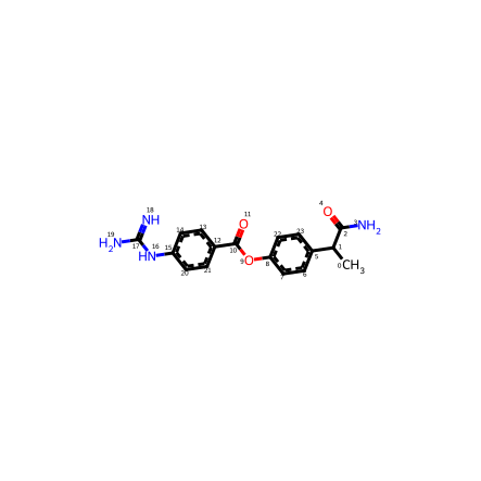 CC(C(N)=O)c1ccc(OC(=O)c2ccc(NC(=N)N)cc2)cc1